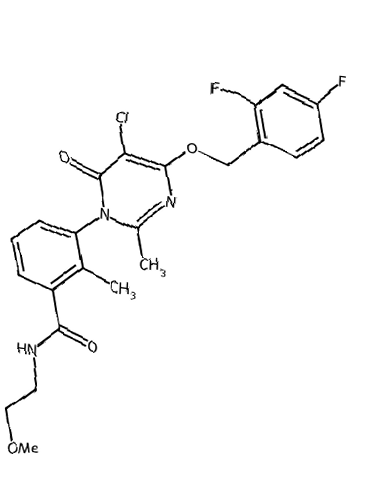 COCCNC(=O)c1cccc(-n2c(C)nc(OCc3ccc(F)cc3F)c(Cl)c2=O)c1C